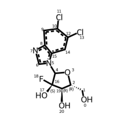 OC[C@H]1OC(n2cnc3cc(Cl)c(Cl)cc32)[C@@](O)(F)[C@@H]1O